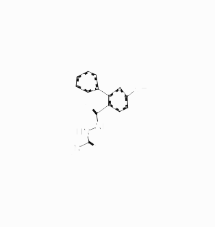 Cc1ccc(C(=O)NNC(N)=O)c(-c2ccccc2)c1